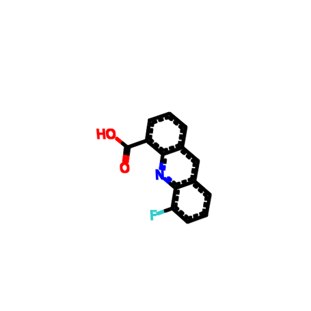 O=C(O)c1cccc2cc3cccc(F)c3nc12